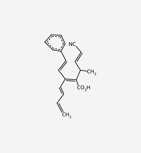 C=CC=CC(C=Cc1ccccc1)=C(C(=O)O)C(C)C=CC#N